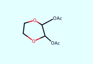 CC(=O)OC1OCCOC1OC(C)=O